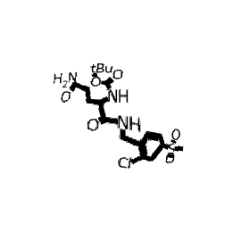 CC(C)(C)OC(=O)NC(CCC(N)=O)C(=O)NCc1ccc(S(C)(=O)=O)cc1Cl